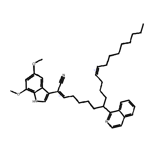 CCCCCCCC/C=C\CCCC(CCCC/C=C(\C#N)c1c[nH]c2c(OC)cc(OC)cc12)c1nccc2ccccc12